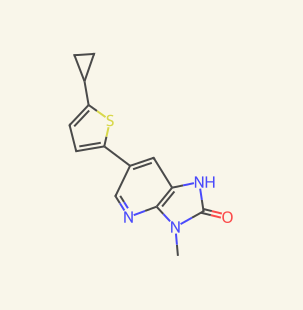 Cn1c(=O)[nH]c2cc(-c3ccc(C4CC4)s3)cnc21